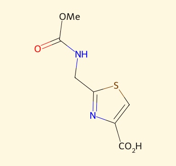 COC(=O)NCc1nc(C(=O)O)cs1